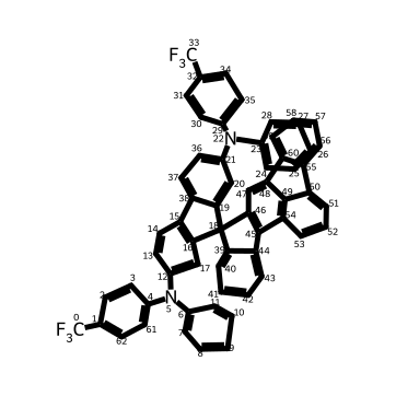 FC(F)(F)c1ccc(N(c2ccccc2)c2ccc3c(c2)C2(c4cc(N(c5ccccc5)c5ccc(C(F)(F)F)cc5)ccc4-3)c3ccccc3-c3c2cc2c4c(cccc34)-c3ccccc3-2)cc1